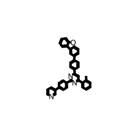 Cc1ccccc1-c1cc(-c2ccc(-c3ccc4oc5ccccc5c4c3)cc2)nc(-c2ccc(-c3cccnc3)cc2)n1